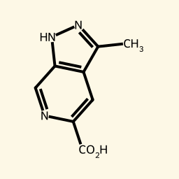 Cc1n[nH]c2cnc(C(=O)O)cc12